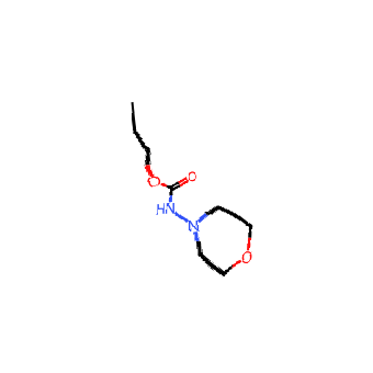 CCCOC(=O)NN1CCOCC1